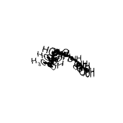 CCCc1ccc(O)c(CN(CCC(CC(=O)O)Cc2cc(CCC(=O)NCCCCCC(=O)NCCCC[C@H](NC(=O)N[C@@H](CCC(=O)O)C(=O)O)OC=O)ccc2O)CC(=O)O)c1